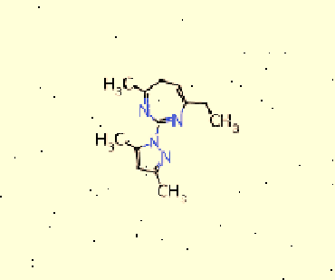 CCC1=CCC(C)=NC(n2nc(C)cc2C)=N1